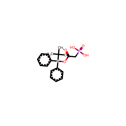 CC(C)(C)[Si](OC(=O)CP(=O)(O)O)(c1ccccc1)c1ccccc1